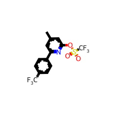 Cc1cc(OS(=O)(=O)C(F)(F)F)nc(-c2ccc(C(F)(F)F)cc2)c1